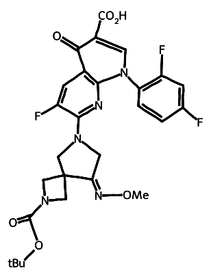 CON=C1CN(c2nc3c(cc2F)c(=O)c(C(=O)O)cn3-c2ccc(F)cc2F)CC12CN(C(=O)OC(C)(C)C)C2